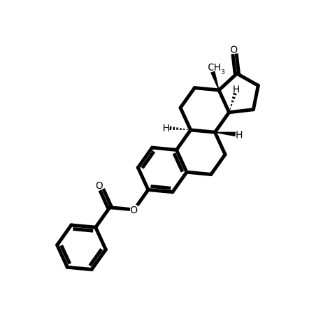 C[C@]12CC[C@@H]3c4ccc(OC(=O)c5ccccc5)cc4CC[C@H]3[C@@H]1CCC2=O